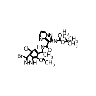 CCOc1c(C(C)NC(=O)c2c(NC(=O)OC(C)(C)C)nn3cccnc23)cc(Cl)c2c(Br)n[nH]c12